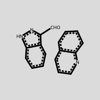 O=Cc1n[nH]c2ccccc12.c1ccc2ncccc2c1